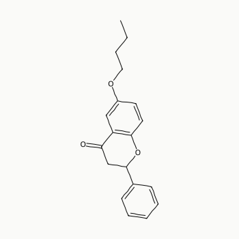 CCCCOc1ccc2c(c1)C(=O)CC(c1ccccc1)O2